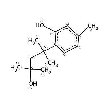 Cc1ccc(C(C)(C)CC(C)(C)O)c(O)c1